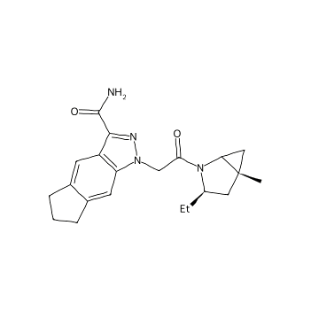 CC[C@@H]1C[C@@]2(C)CC2N1C(=O)Cn1nc(C(N)=O)c2cc3c(cc21)CCC3